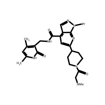 CNCC(=O)N1CCC(c2cc(C(=O)NCc3c(C)cc(C)[nH]c3=O)c3cnn(C(C)C)c3n2)CC1